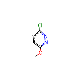 COc1c[c]c(Cl)nn1